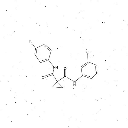 O=C(Nc1ccc(F)cc1)C1(C(=O)Nc2cncc(Cl)c2)CC1